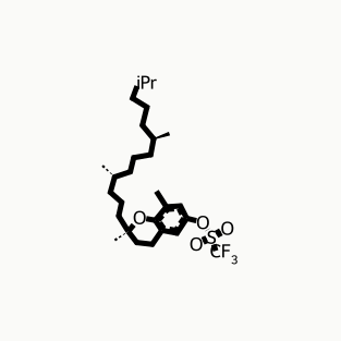 Cc1cc(OS(=O)(=O)C(F)(F)F)cc2c1O[C@](C)(CCC[C@H](C)CCC[C@H](C)CCCC(C)C)CC2